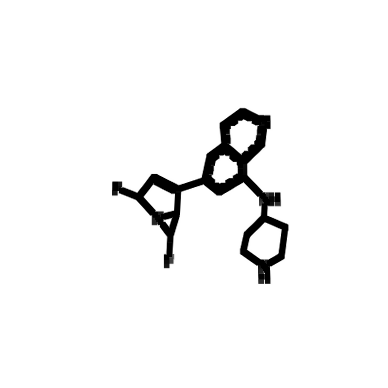 FC1C=C(c2cc(NC3CCNCC3)c3cnccc3c2)C2C(F)N12